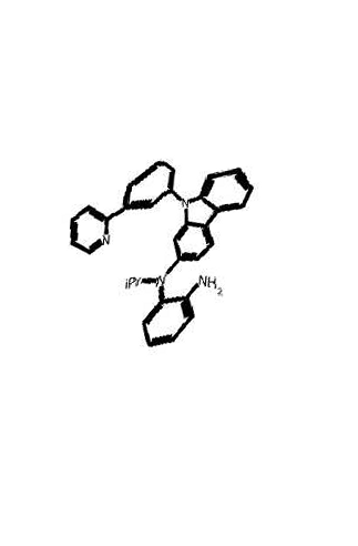 CC(C)N(c1ccc2c3ccccc3n(-c3cccc(-c4ccccn4)c3)c2c1)c1ccccc1N